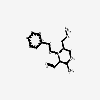 COCC1COC(C)C(C=O)N1CCc1ccccc1